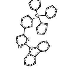 c1ccc([Si](c2ccccc2)(c2ccccc2)c2cccc(-c3ccnc(-n4c5ccccc5c5ccccc54)n3)c2)cc1